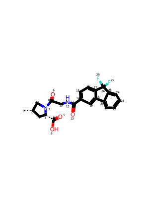 C[C@H]1C[C@@H](C(=O)O)N(C(=O)CNC(=O)c2ccc3c(c2)-c2ccccc2C3(F)F)C1